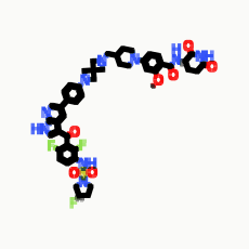 COc1cc(N2CCC(CN3CC4(C3)CN(c3ccc(-c5cnc6[nH]cc(C(=O)c7c(F)ccc(NS(=O)(=O)N8CC[C@@H](F)C8)c7F)c6c5)cc3)C4)CC2)ccc1C(=O)N[C@H]1CCC(=O)NC1=O